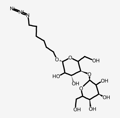 [N-]=[N+]=NCCCCCCO[C@@H]1OC(CO)[C@@H](O[C@@H]2OC(CO)[C@H](O)[C@H](O)C2O)[C@H](O)C1O